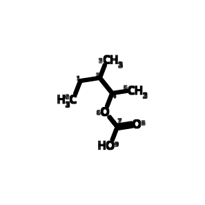 CCC(C)C(C)OC(=O)O